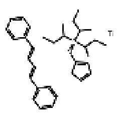 C(C=Cc1ccccc1)=Cc1ccccc1.CCC(C)P(=NC1=CC=CC1)(C(C)CC)C(C)CC.[Ti]